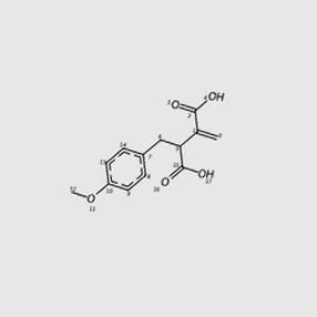 C=C(C(=O)O)C(Cc1ccc(OC)cc1)C(=O)O